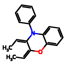 C/C=C1/Oc2ccccc2N(c2ccccc2)/C1=C/C